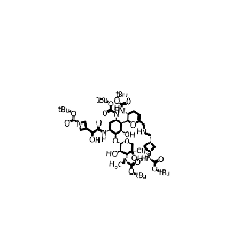 CN(C(=O)OC(C)(C)C)[C@@H]1[C@@H](O)[C@@H](O[C@@H]2[C@@H](O)[C@H](C3OC(CNC[C@H]4C[C@H](NC(=O)OC(C)(C)C)C4)=CC[C@H]3NC(=O)OC(C)(C)C)[C@@H](NC(=O)OC(C)(C)C)C[C@H]2NC(=O)C(O)C2CN(C(=O)OC(C)(C)C)C2)OC[C@]1(C)O